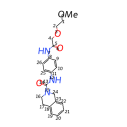 COCCOCC(=O)Nc1ccc(NC(=O)N2CCc3ccccc3C2)cc1